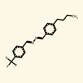 CCCCc1ccc(C=NN=Cc2ccc(C(F)(F)F)cc2)cc1